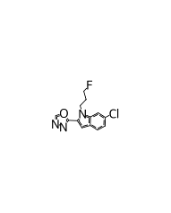 FCCCn1c(-c2nnco2)cc2ccc(Cl)cc21